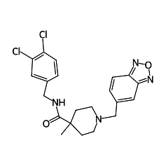 CC1(C(=O)NCc2ccc(Cl)c(Cl)c2)CCN(Cc2ccc3nonc3c2)CC1